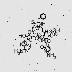 C=CCCC(=O)N[C@@H](Cc1ccccc1)C(=S)NCC(=O)OC1[C@@H](COP(=O)(O)O[C@@H]2C[C@H](n3ccc(N)nc3=O)O[C@@H]2COP(=O)(O)O)O[C@@H](n2cnc3c(N)ncnc32)[C@H]1O